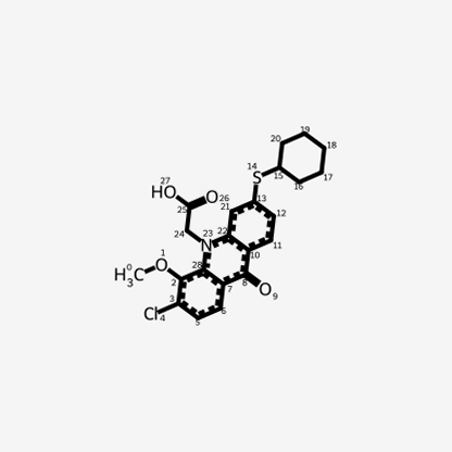 COc1c(Cl)ccc2c(=O)c3ccc(SC4CCCCC4)cc3n(CC(=O)O)c12